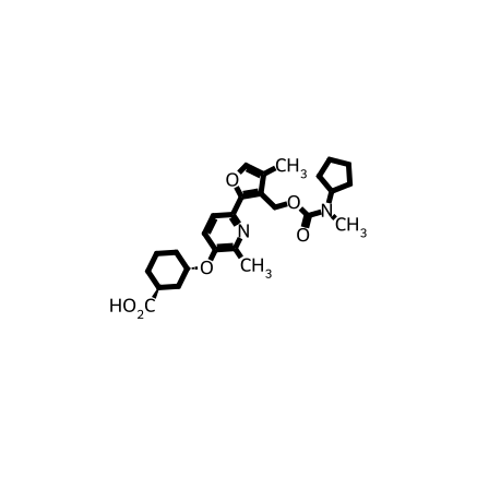 Cc1coc(-c2ccc(O[C@H]3CCC[C@H](C(=O)O)C3)c(C)n2)c1COC(=O)N(C)C1CCCC1